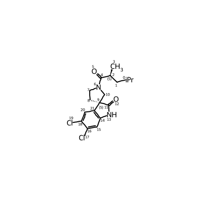 CC(C)C[C@H](C)C(=O)N1CC[C@]2(C1)C(=O)Nc1cc(Cl)c(Cl)cc12